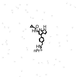 CCCSNCc1ccc(-c2cc(NC(=O)C3CC3)nc3[nH]ccc23)cc1